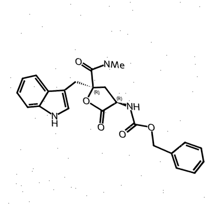 CNC(=O)[C@@]1(Cc2c[nH]c3ccccc23)C[C@@H](NC(=O)OCc2ccccc2)C(=O)O1